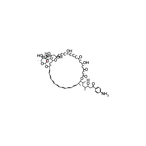 CC1/C=C/C=C/C=C/C=C/C=C/C=C/C=C/C(O[C@H]2C[C@@H](N)[C@H](O)[C@@H](C)O2)CC2OC(O)(CCCC(O)CCCC(=O)CC(O)CC(=O)CC(=O)OC1C(C)CC(C)C(O)CC(=O)c1ccc(N)cc1)CC(O)C2C(=O)O